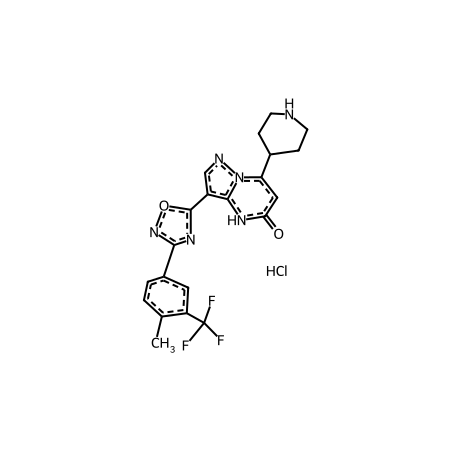 Cc1ccc(-c2noc(-c3cnn4c(C5CCNCC5)cc(=O)[nH]c34)n2)cc1C(F)(F)F.Cl